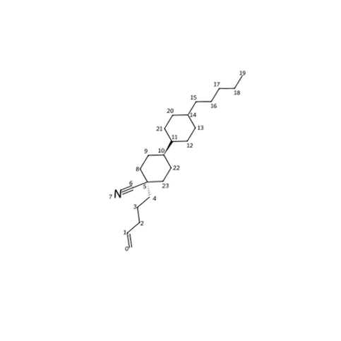 C=CCCC[C@]1(C#N)CC[C@@H](C2CCC(CCCCC)CC2)CC1